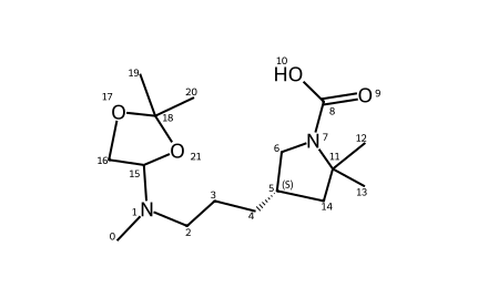 CN(CCC[C@@H]1CN(C(=O)O)C(C)(C)C1)C1COC(C)(C)O1